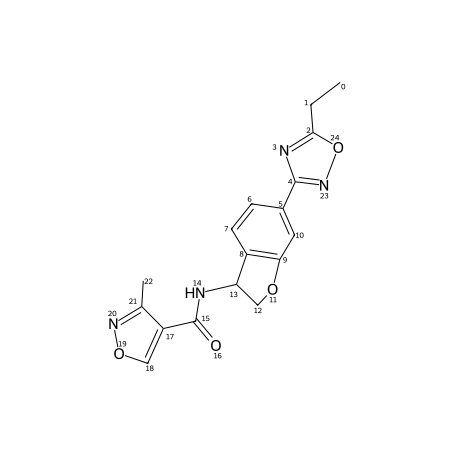 CCc1nc(-c2ccc3c(c2)OCC3NC(=O)c2conc2C)no1